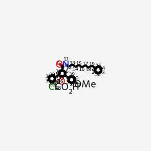 COc1ccc(-c2cc(C(=O)N(C)CCCCCCCCc3ccccc3)cc(-c3cccc(Cl)c3)c2OCC(=O)O)cc1